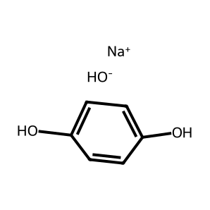 Oc1ccc(O)cc1.[Na+].[OH-]